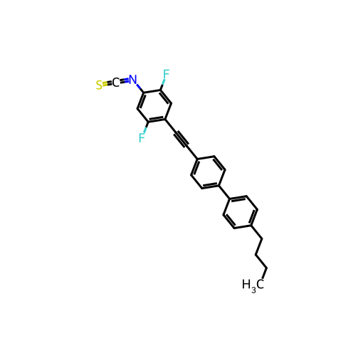 CCCCc1ccc(-c2ccc(C#Cc3cc(F)c(N=C=S)cc3F)cc2)cc1